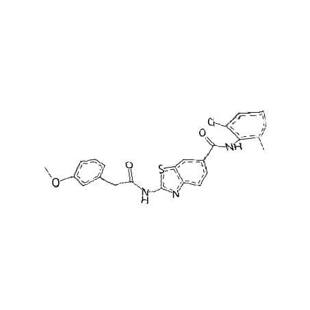 COc1cccc(CC(=O)Nc2nc3ccc(C(=O)Nc4c(C)cccc4Cl)cc3s2)c1